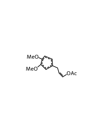 COc1ccc(C/C=C\OC(C)=O)cc1OC